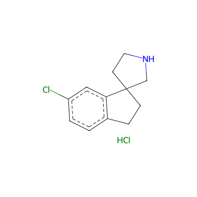 Cl.Clc1ccc2c(c1)C1(CCNC1)CC2